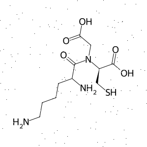 NCCCCC(N)C(=O)N(CC(=O)O)[C@H](CS)C(=O)O